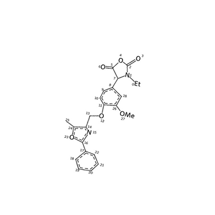 CCN1C(=O)OC(=O)C1c1ccc(OCc2nc(-c3ccccc3)oc2C)c(OC)c1